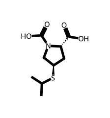 CC(C)S[C@@H]1C[C@@H](C(=O)O)N(C(=O)O)C1